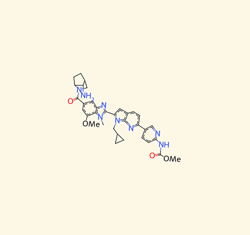 COC(=O)Nc1ccc(-c2ccc3cc(-c4nc5cc(C(=O)N6CC7CCC6C7N)cc(OC)c5n4C)n(CC4CC4)c3n2)cn1